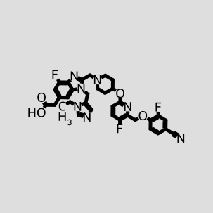 CCn1cncc1Cn1c(CN2CCC(Oc3ccc(F)c(COc4ccc(C#N)cc4F)n3)CC2)nc2c(F)cc(CC(=O)O)cc21